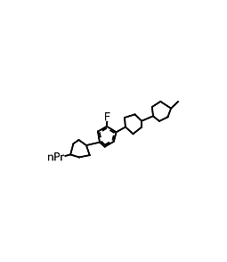 CCCC1CCC(c2ccc(C3CCC(C4CCC(C)CC4)CC3)c(F)c2)CC1